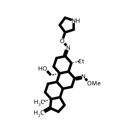 C=C1CCC2C3CC(=NOC)C4[C@@H](CC)C(=NOC5CCNC5)CC[C@]4(CO)C3CC[C@]12C